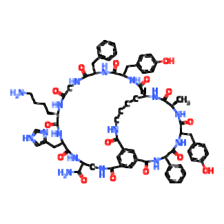 C[C@H]1NC(=O)C(Cc2ccc(O)cc2)NC(=O)C(c2ccccc2)NC(=O)c2cc3cc(c2)C(=O)NCC(C(N)=O)NC(=O)C(Cc2c[nH]cn2)NC(=O)[C@@H](CCCCN)NC(=O)CNC(=O)C(Cc2ccccc2)NC(=O)C(Cc2ccc(O)cc2)NC(=O)[C@H](CCCCNC3=O)NC1=O